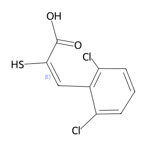 O=C(O)/C(S)=C\c1c(Cl)cccc1Cl